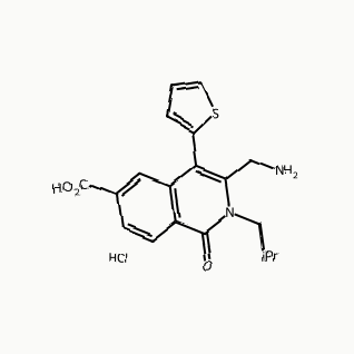 CC(C)Cn1c(CN)c(-c2cccs2)c2cc(C(=O)O)ccc2c1=O.Cl